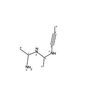 CC#CNC(C)NC(C)N